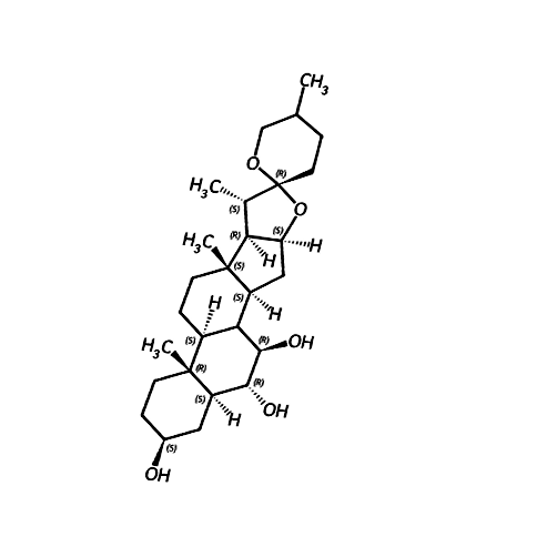 CC1CC[C@@]2(OC1)O[C@H]1C[C@H]3C4[C@@H](O)[C@H](O)[C@H]5C[C@@H](O)CC[C@]5(C)[C@H]4CC[C@]3(C)[C@H]1[C@@H]2C